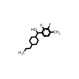 CCCC1CCC(C(O)c2ccc(C)c(F)c2F)CC1